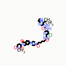 CC(C)c1c(NC(=O)Nc2cnc(-c3noc(CCCCC(=O)N4CCN(c5ccc6c(c5)CN(C5CCC(=O)N(C)C5=O)C6=O)CC4)n3)c(Cl)c2)cnc2ccnn12